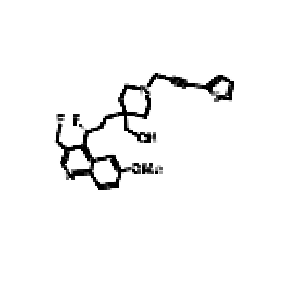 COc1ccc2ncc(CF)c([C@H](F)CCC3(CO)CCN(CC#Cc4cccs4)CC3)c2c1